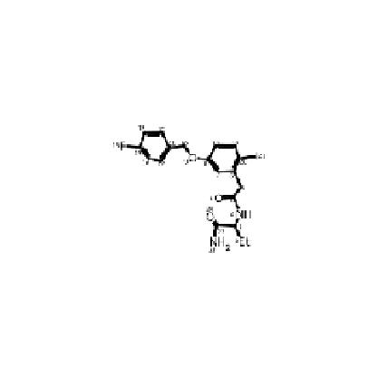 CCC(NC(=O)Cc1cc(OCc2ccc(F)cc2)ccc1I)C(N)=O